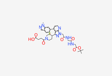 Cn1ncc2cc(F)c(-c3ccnc4c3c(C3CCN(C(=O)CCC(=O)O)CC3)nn4CC(=O)NCC(=O)NCC(=O)OC(C)(C)C)cc21